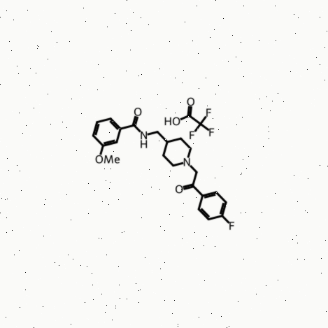 COc1cccc(C(=O)NCC2CCN(CC(=O)c3ccc(F)cc3)CC2)c1.O=C(O)C(F)(F)F